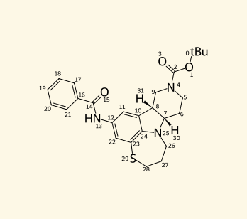 CC(C)(C)OC(=O)N1CC[C@H]2[C@@H](C1)c1cc(NC(=O)c3ccccc3)cc3c1N2CCCS3